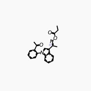 CCC(=O)O/N=C(\C)c1cn(-c2ccccc2C(C)=O)c2ccccc12